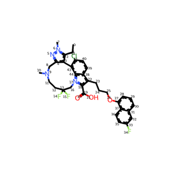 CCc1c2c(nn1C)CN(C)CCC(F)(F)Cn1c(C(=O)O)c(CCCOc3cccc4cc(F)ccc34)c3ccc(Cl)c-2c31